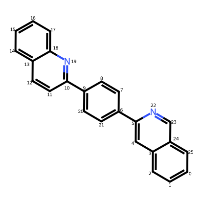 c1ccc2cc(-c3ccc(-c4ccc5ccccc5n4)cc3)ncc2c1